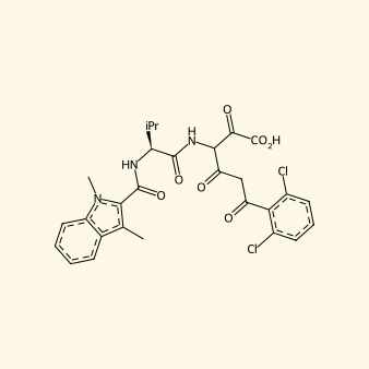 Cc1c(C(=O)N[C@H](C(=O)NC(C(=O)CC(=O)c2c(Cl)cccc2Cl)C(=O)C(=O)O)C(C)C)n(C)c2ccccc12